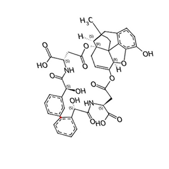 CC1CCC23c4c5ccc(O)c4O[C@H]2C(OC(=O)C[C@H](NC(=O)[C@@H](O)c2ccccc2)C(=O)O)=CC[C@@]3(OC(=O)C[C@H](NC(=O)[C@@H](O)c2ccccc2)C(=O)O)[C@H]1C5